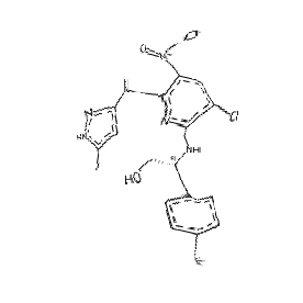 Cc1cc(Nc2nc(N[C@@H](CO)c3ccc(F)cc3)c(Cl)cc2[N+](=O)[O-])n[nH]1